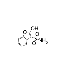 NS(=O)(=O)c1c(O)oc2ccccc12